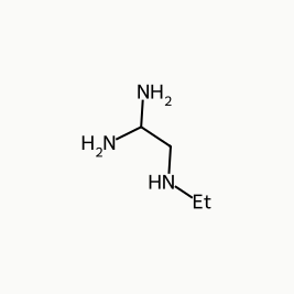 [CH2]CNCC(N)N